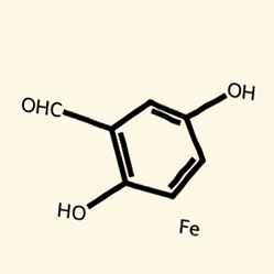 O=Cc1cc(O)ccc1O.[Fe]